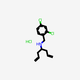 C=CCC(CC=C)NCc1ccc(Cl)cc1Cl.Cl